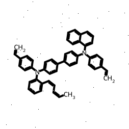 C=Cc1ccc(N(c2ccc(-c3ccc(N(c4ccc(C=C)cc4)c4cccc5ccccc45)cc3)cc2)c2ccccc2/C=C\C=C/C)cc1